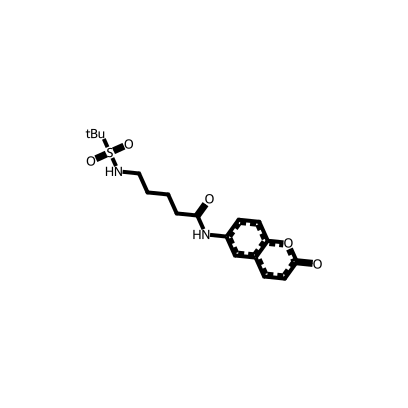 CC(C)(C)S(=O)(=O)NCCCCC(=O)Nc1ccc2oc(=O)ccc2c1